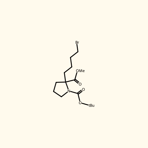 COC(=O)C1(CCCCBr)CCCN1C(=O)OC(C)(C)C